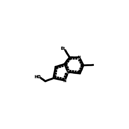 CCc1nc(C)cn2nc(CO)cc12